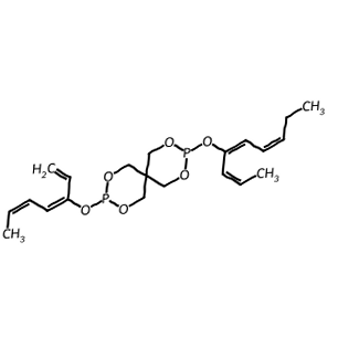 C=C/C(=C\C=C/C)OP1OCC2(CO1)COP(OC(/C=C\C)=C/C=C\CC)OC2